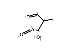 Br.CC(C=O)[CH2][Zn]=[O]